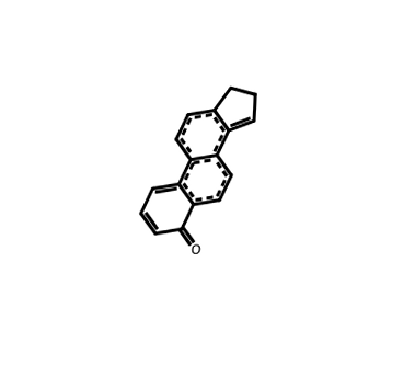 O=C1C=CC=c2c1ccc1c3c(ccc21)CCC=3